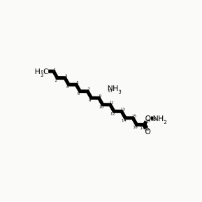 CCCCCCCCCCCCCCCCCC(=O)ON.N